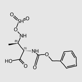 C[C@@H](NO[SH](=O)=O)[C@H](NC(=O)OCc1ccccc1)C(=O)O